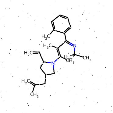 C=CC1CC(CC(=C)C)CN1/C(C)=C(C)/C(=N\C(=C)C)c1ccccc1C